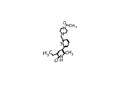 CCc1cc(-c2cccc(CN3CCN(C(C)=O)CC3)n2)c(C)[nH]c1=O